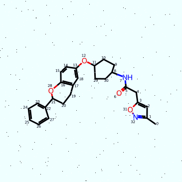 Cc1cc(CC(=O)NC2CCC(Oc3ccc4c(c3)CCC(c3ccccc3)O4)CC2)on1